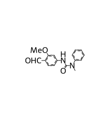 COc1cc(NC(=O)N(C)c2ccccc2)ccc1C=O